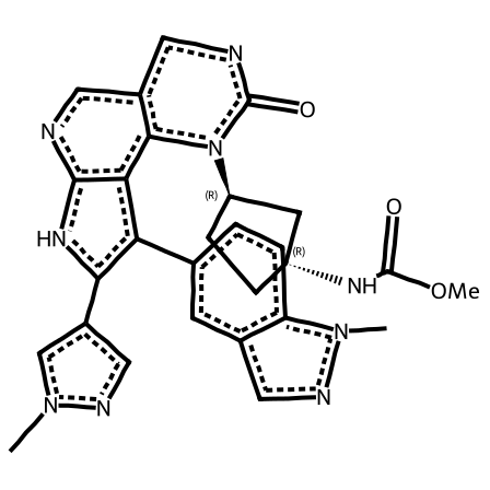 COC(=O)N[C@@H]1CC[C@@H](n2c(=O)ncc3cnc4[nH]c(-c5cnn(C)c5)c(-c5ccc6c(cnn6C)c5)c4c32)C1